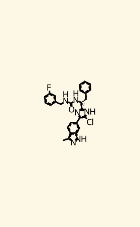 Cc1n[nH]c2cc(-c3nc([C@H](Cc4ccccc4)NC(=O)NCc4cccc(F)c4)[nH]c3Cl)ccc12